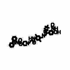 Cc1cc(NC(=O)CCN2CCC(OC(=O)Nc3ccccc3-c3ccccc3)CC2)c(C)cc1C=NCC(O[Si](C)(C)C(C)(C)C)c1ccc(O)c(NC=O)c1